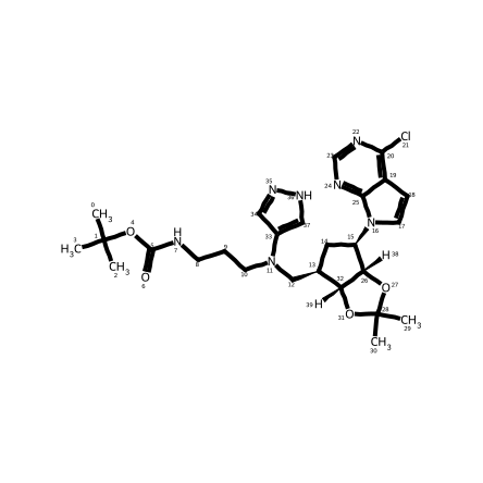 CC(C)(C)OC(=O)NCCCN(C[C@H]1C[C@@H](n2ccc3c(Cl)ncnc32)[C@@H]2OC(C)(C)O[C@H]12)c1cn[nH]c1